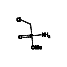 COP(N)(=O)CCl